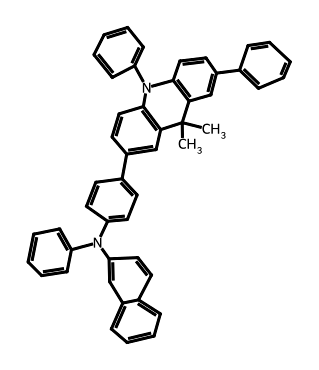 CC1(C)c2cc(-c3ccccc3)ccc2N(c2ccccc2)c2ccc(-c3ccc(N(c4ccccc4)c4ccc5ccccc5c4)cc3)cc21